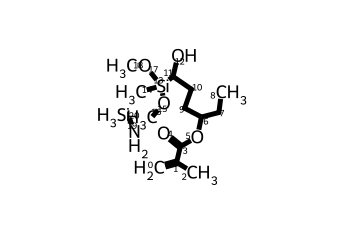 C=C(C)C(=O)OC(CC)CCC(O)[Si](C)(OC)OC.N[SiH3]